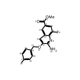 COC(=O)c1cc(F)c2nc(N)c(OCc3ccc(C)cc3)cc2c1